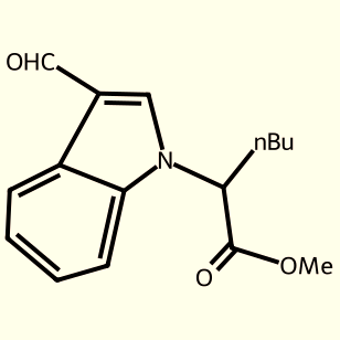 CCCCC(C(=O)OC)n1cc(C=O)c2ccccc21